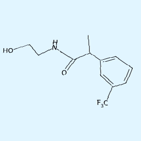 CC(C(=O)NCCO)c1cccc(C(F)(F)F)c1